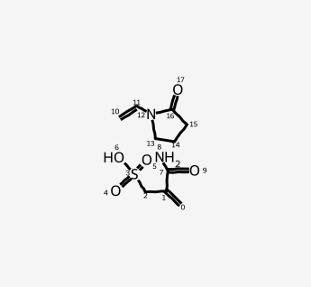 C=C(CS(=O)(=O)O)C(N)=O.C=CN1CCCC1=O